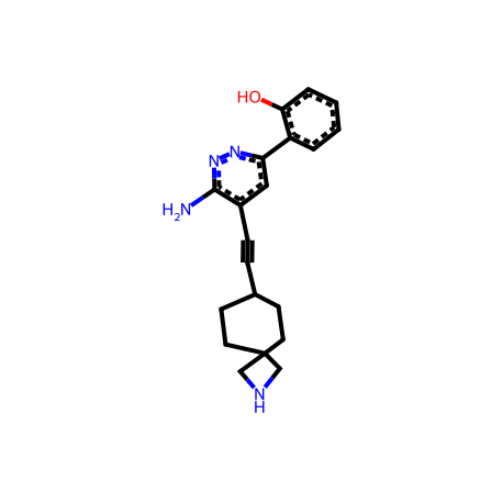 Nc1nnc(-c2ccccc2O)cc1C#CC1CCC2(CC1)CNC2